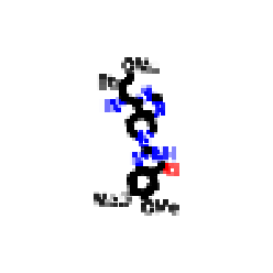 CC[C@H](COC)C(=N)c1ncnc2c1CCN(c1nc3cc(OC)c(OC)cc3c(=O)[nH]1)C2